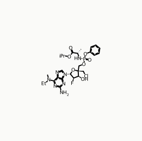 CCN(C)c1nc(N)nc2c1ncn2[C@@H]1O[C@](CCl)(CO[P@@](=O)(N[C@@H](C)C(=O)OC(C)C)Oc2ccccc2)[C@@H](O)[C@H]1F